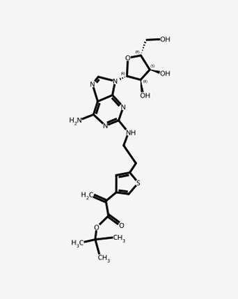 C=C(C(=O)OC(C)(C)C)c1csc(CCNc2nc(N)c3ncn([C@@H]4O[C@H](CO)[C@@H](O)[C@H]4O)c3n2)c1